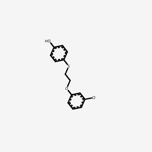 Oc1ccc(SCCOc2cccc(Cl)c2)cc1